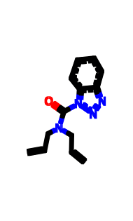 C=CCN(CC=C)C(=O)n1nnc2ccccc21